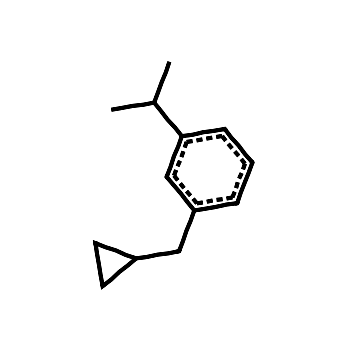 CC(C)c1cccc(CC2CC2)c1